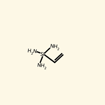 C=C[Si](N)(N)N